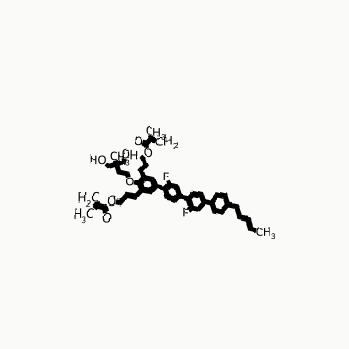 C=C(C)C(=O)OCCCc1cc(-c2ccc(C3=C(F)CC(C4CCC(CCCCC)CC4)C=C3)cc2F)cc(CCCOC(=O)C(=C)C)c1OCCC(C)(CO)CO